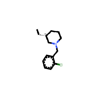 CC[C@@H]1CCCN(Cc2ccccc2Cl)C1